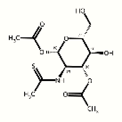 CC(=O)O[C@@H]1O[C@H](CO)[C@@H](O)[C@H](OC(C)=O)[C@H]1NC(C)=S